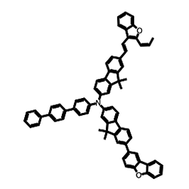 C/C=C\c1oc2ccccc2c1/C=C/c1ccc2c(c1)C(C)(C)c1cc(N(c3ccc(-c4ccc(-c5ccccc5)cc4)cc3)c3ccc4c(c3)C(C)(C)c3cc(-c5ccc6oc7ccccc7c6c5)ccc3-4)ccc1-2